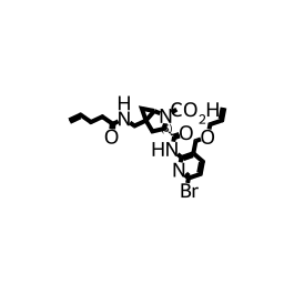 C=CCCC(=O)NCC12CC1N(C(=O)O)[C@H](C(=O)Nc1nc(Br)ccc1COCC=C)C2